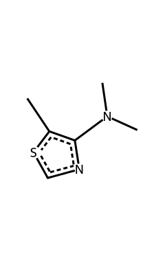 Cc1scnc1N(C)C